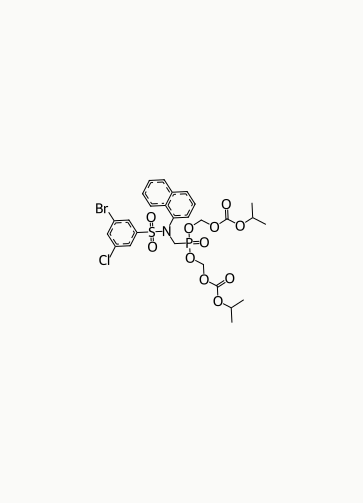 CC(C)OC(=O)OCOP(=O)(CN(c1cccc2ccccc12)S(=O)(=O)c1cc(Cl)cc(Br)c1)OCOC(=O)OC(C)C